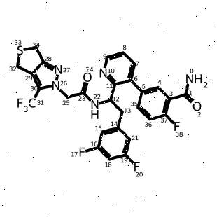 NC(=O)c1cc(-c2cccnc2C(Cc2cc(F)cc(F)c2)NC(=O)Cn2nc3c(c2C(F)(F)F)CSC3)ccc1F